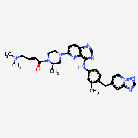 Cc1cc(Nc2ncnc3ccc(N4CCN(C(=O)/C=C/CN(C)C)[C@H](C)C4)nc23)ccc1Cc1ccn2ncnc2c1